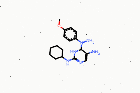 COc1ccc(N(N)C2NC(NC3CCCCC3)=NC=C2N)cc1